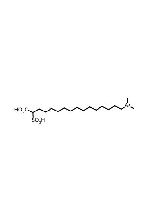 C[As](C)CCCCCCCCCCCCCCC(C(=O)O)S(=O)(=O)O